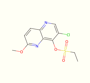 CCS(=O)(=O)Oc1c(Cl)cnc2ccc(OC)nc12